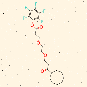 O=C(CCOCCOCCC(=O)C1CCCCCCC1)Oc1c(F)c(F)c(F)c(F)c1F